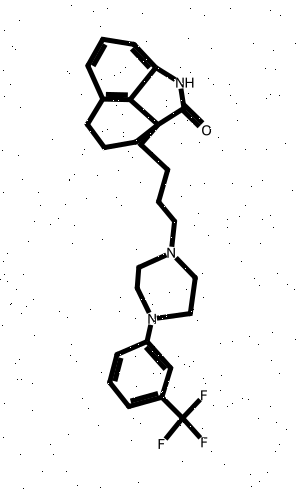 O=C1Nc2cccc3c2C1(CCCCN1CCN(c2cccc(C(F)(F)F)c2)CC1)CCC3